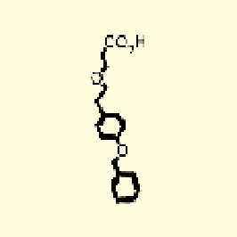 O=C(O)CCOCCc1ccc(OCc2ccccc2)cc1